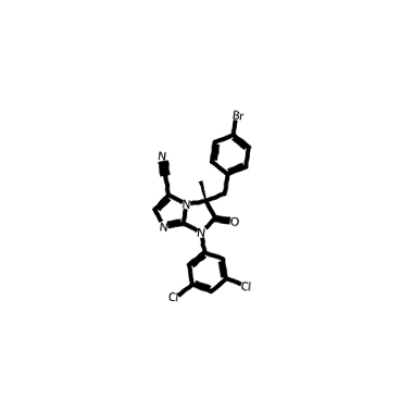 C[C@@]1(Cc2ccc(Br)cc2)C(=O)N(c2cc(Cl)cc(Cl)c2)c2ncc(C#N)n21